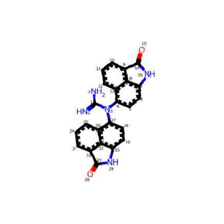 N=C(N)N(c1ccc2c3c(cccc13)C(=O)N2)c1ccc2c3c(cccc13)C(=O)N2